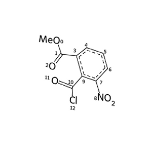 COC(=O)c1cccc([N+](=O)[O-])c1C(=O)Cl